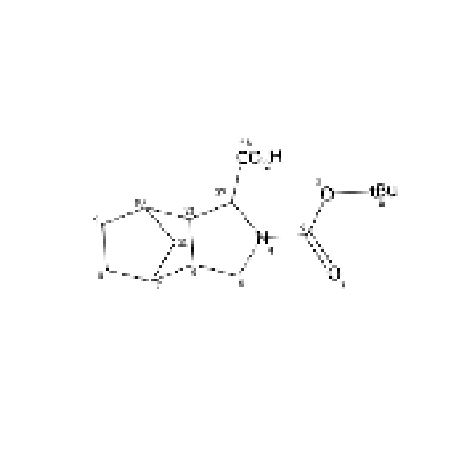 CC(C)(C)OC(=O)N1CC2C3CCC(C3)C2C1C(=O)O